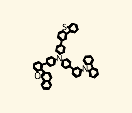 c1cc(-c2ccc(N(c3ccc(-c4ccc5sc6ccccc6c5c4)cc3)c3ccc(-c4cccc5oc6c7ccccc7ccc6c45)cc3)cc2)cc(-n2c3ccccc3c3ccccc32)c1